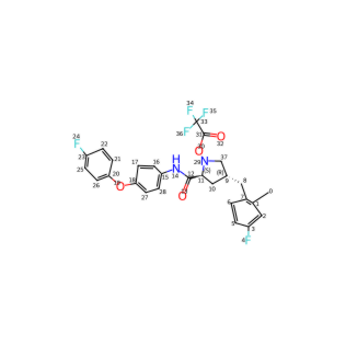 Cc1cc(F)ccc1C[C@@H]1C[C@@H](C(=O)Nc2ccc(Oc3ccc(F)cc3)cc2)N(OC(=O)C(F)(F)F)C1